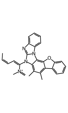 C=[N+](C)/C(=C\C=C/C)n1c2c(C)c(C)c3c4ccccc4oc3c2n2c3ccccc3nc12